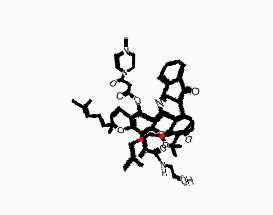 CC(C)=CCCC1(C)C=Cc2c(c(CC=C(C)C)c3c(c2OC(=O)CC(=O)N2CCN(C)CC2)C2=C4C(C5CC6C(C)(C)OC(C/C=C(/C)C(=O)NCCO)(C5=O)C46O3)C3C(=O)c4ccccc4C3=N2)O1